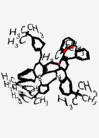 CC(C)(C)c1ccc(CC2Cc3ccc(C(C)(C)C)cc3B3c4cc(C(C)(C)C)ccc4N(c4ccc(C(C)(C)C)cc4-c4ccc(C(C)(C)C)cc4)c4cc(C(Cc5ccccc5)c5ccccc5)cc2c43)cc1